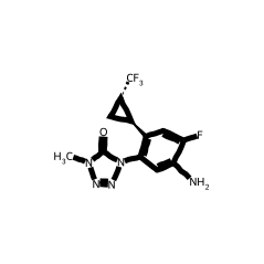 Cn1nnn(-c2cc(N)c(F)cc2[C@H]2C[C@@H]2C(F)(F)F)c1=O